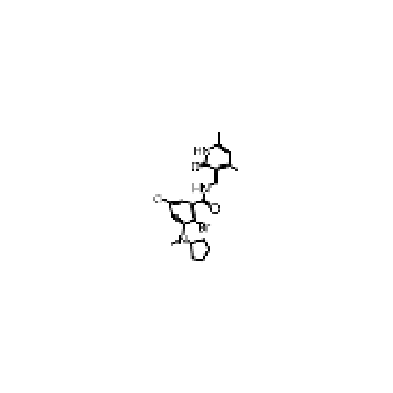 Cc1cc(C)c(CNC(=O)c2cc(Cl)cc(N(C)C3CCCC3)c2Br)c(=O)[nH]1